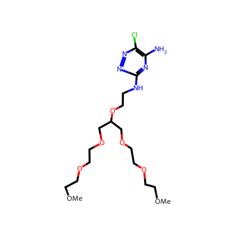 COCCOCCOCC(COCCOCCOC)OCCNc1nnc(Cl)c(N)n1